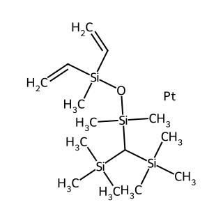 C=C[Si](C)(C=C)O[Si](C)(C)C([Si](C)(C)C)[Si](C)(C)C.[Pt]